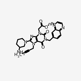 CC#CCn1c(N2CCCC(N)C2)nc2c1c(=O)n(Cc1ccc3nccnc3c1)c(=O)n2CC(=O)OCCC